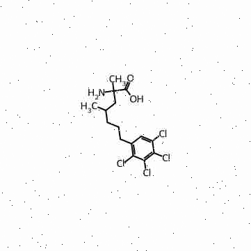 CC(CCCc1cc(Cl)c(Cl)c(Cl)c1Cl)CC(C)(N)C(=O)O